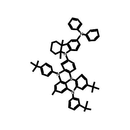 Cc1cc2c3c(c1)N(c1cccc(C(C)(C)C)c1)c1cc(C(C)(C)C)ccc1B3c1ccc(N3c4ccc(N(c5ccccc5)c5ccccc5)cc4C4(C)CCCCC34C)cc1N2c1ccc(C(C)(C)C)cc1